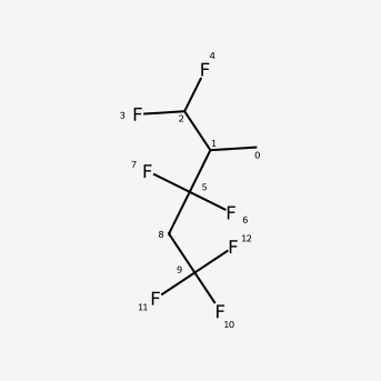 CC(C(F)F)C(F)(F)CC(F)(F)F